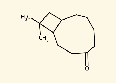 CC1(C)CC2CCCCC(=O)CCC21